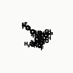 [2H]c1c(C)c([2H])c2c(c1[2H])c(=O)c([2H])c(SC([2H])([2H])c1cccc(F)c1F)n2C([2H])([2H])C(=O)N(C1CCN(CC([2H])([2H])OC)CC1)C([2H])([2H])c1ccc(-c2ccc(C(F)(F)F)cc2)cc1